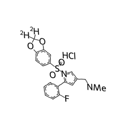 Cl.[2H]C1([2H])Oc2ccc(S(=O)(=O)n3cc(CNC)cc3-c3ccccc3F)cc2O1